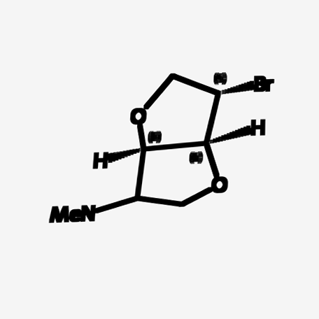 CNC1CO[C@H]2[C@@H]1OC[C@@H]2Br